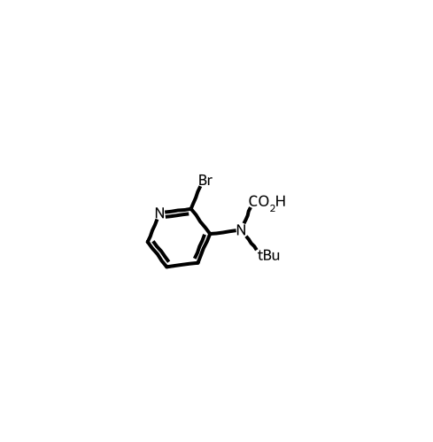 CC(C)(C)N(C(=O)O)c1cccnc1Br